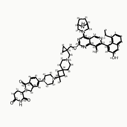 CCc1cccc2cc(O)cc(-c3ncc4c(N5CC6CCC(C5)N6)nc(OCC5(CN6CCC7(CC6)CC(C)(N6CCN(c8ccc9c(c8)CN(C8CCC(=O)NC8=O)C9=O)CC6)C7)CC5)nc4c3F)c12